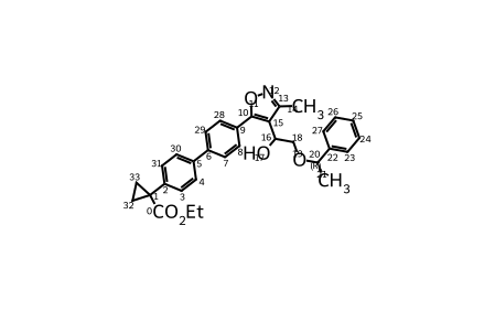 CCOC(=O)C1(c2ccc(-c3ccc(-c4onc(C)c4C(O)CO[C@H](C)c4ccccc4)cc3)cc2)CC1